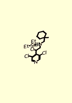 CC[Si](CC)(CC)OC(CNCC1(C)CCCCC1)c1c(Cl)cncc1Cl